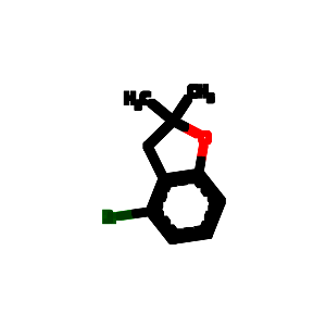 CC1(C)Cc2c(Br)cccc2O1